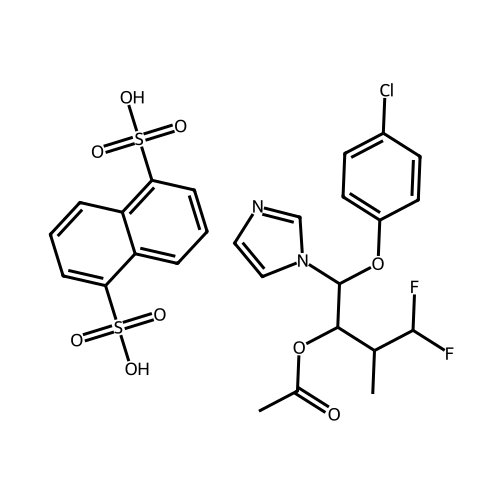 CC(=O)OC(C(C)C(F)F)C(Oc1ccc(Cl)cc1)n1ccnc1.O=S(=O)(O)c1cccc2c(S(=O)(=O)O)cccc12